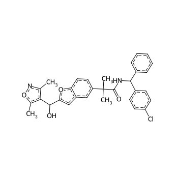 Cc1noc(C)c1C(O)c1cc2cc(C(C)(C)C(=O)NC(c3ccccc3)c3ccc(Cl)cc3)ccc2o1